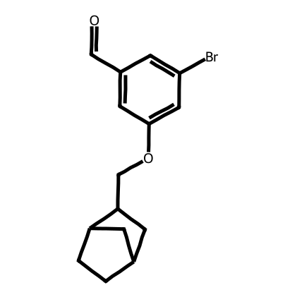 O=Cc1cc(Br)cc(OCC2CC3CCC2C3)c1